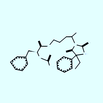 CCC(CCCNC(=O)[C@H](Cc1ccccc1)NC(=O)OC)N1C(=N)NC(CC(C)C)(c2ccccc2)C1=O